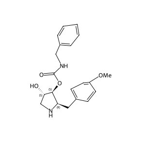 COc1ccc(C[C@H]2NC[C@H](O)[C@H]2OC(=O)NCc2ccccc2)cc1